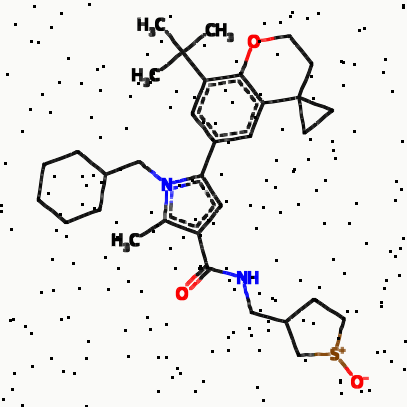 Cc1c(C(=O)NCC2CC[S+]([O-])C2)cc(-c2cc(C(C)(C)C)c3c(c2)C2(CCO3)CC2)n1CC1CCCCC1